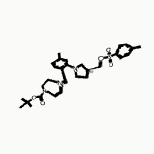 Cc1ccc(S(=O)(=O)OC[C@H]2CCN(c3cc(C)ccc3CN3CCN(C(=O)OC(C)(C)C)CC3)C2)cc1